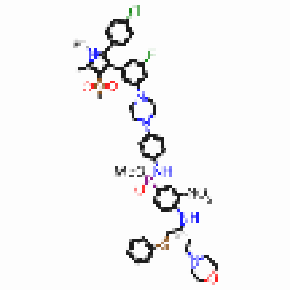 COP(=O)(Nc1ccc(N2CCN(c3cc(F)cc(-c4c(S(C)(=O)=O)c(C)n(C(C)C)c4-c4ccc(Cl)cc4)c3)CC2)cc1)c1ccc(N[C@H](CCN2CCOCC2)CSc2ccccc2)c([N+](=O)[O-])c1